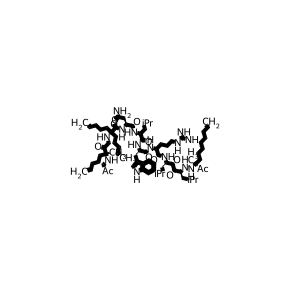 C=CCCCCCC[C@](C)(NN[C@@H](CC(C)C)C(=O)C(=O)[C@H](CC(C)C)NC(=O)C(CCCNC(=N)N)NC(=O)[C@H](Cc1c[nH]c2ccccc12)NC(=O)C(CC(C)C)NC(=O)[C@H](CC(N)=O)NC(=O)C(CCCC=C)(CCCC=C)NCC(=O)[C@@](C)(CCCC=C)NCC(C)=O)C(C)=O